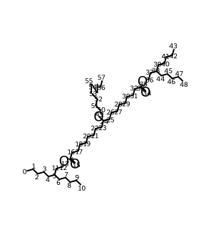 CCCCCC(CCCCC)CCOC(=O)CCCCCCCCC(CCCCCCCCC(=O)OCCC(CCCCC)CCCCC)OCCCCN(C)CC